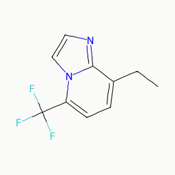 CCc1ccc(C(F)(F)F)n2ccnc12